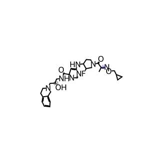 C/C(=N\OCC1CC1)C(=O)N1CCC(Nc2cc(C(=O)NC[C@H](O)CN3CCc4ccccc4C3)ncn2)C(F)C1